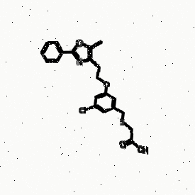 Cc1oc(-c2ccccc2)nc1CCOc1cc(Cl)cc(CSCC(=O)O)c1